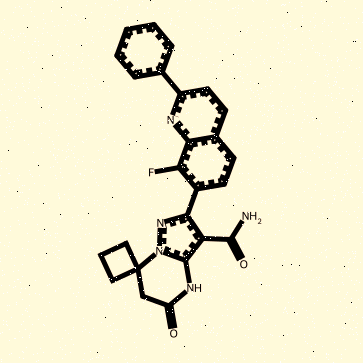 NC(=O)c1c(-c2ccc3ccc(-c4ccccc4)nc3c2F)nn2c1NC(=O)CC21CCC1